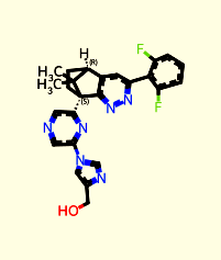 CC1(C)[C@H]2CC[C@]1(c1cncc(-n3cnc(CO)c3)n1)c1nnc(-c3c(F)cccc3F)cc12